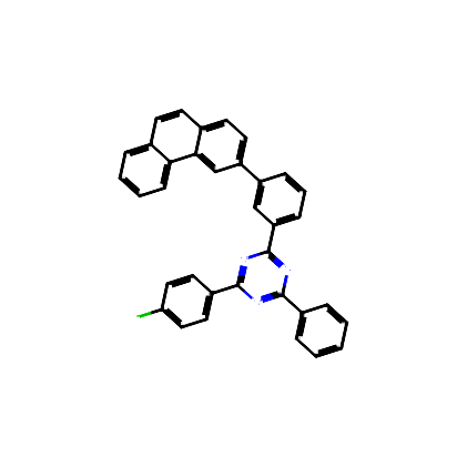 Clc1ccc(-c2nc(-c3ccccc3)nc(-c3cccc(-c4ccc5ccc6ccccc6c5c4)c3)n2)cc1